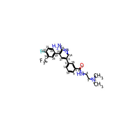 CN(C)CCNC(=O)c1cccc(-c2cnc(N)c(-c3ccc(F)c(C(F)(F)F)c3)c2)c1